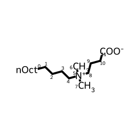 CCCCCCCCCCCC[N+](C)(C)CCCC(=O)[O-]